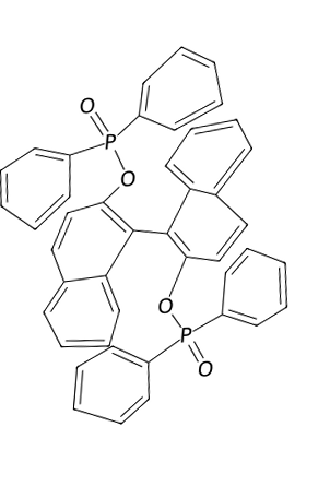 O=P(Oc1ccc2ccccc2c1-c1c(OP(=O)(c2ccccc2)c2ccccc2)ccc2ccccc12)(c1ccccc1)c1ccccc1